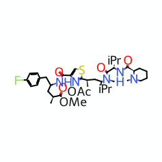 COC(=O)[C@@H](C)CC(Cc1ccc(F)cc1)NC(=O)c1csc([C@@H](CC(C(C)C)N(C)C(=O)[C@@H](NC(=O)[C@H]2CCCCN2C)C(C)C)OC(C)=O)n1